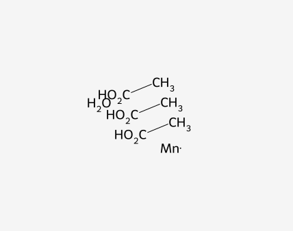 CC(=O)O.CC(=O)O.CC(=O)O.O.[Mn]